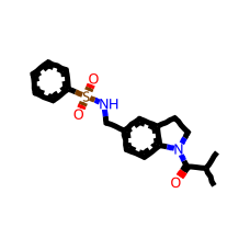 CC(C)C(=O)N1CCc2cc(CNS(=O)(=O)c3ccccc3)ccc21